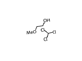 COCCO.ClC(Cl)Cl